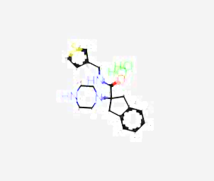 Cl.Cl.O=C(NCc1ccsc1)C1(N2CCNCC2)Cc2ccccc2C1